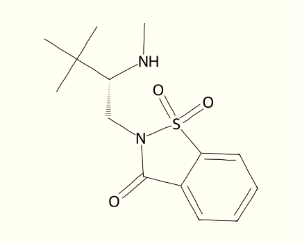 CN[C@H](CN1C(=O)c2ccccc2S1(=O)=O)C(C)(C)C